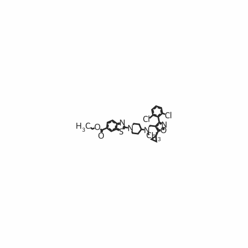 CCOC(=O)c1ccc2nc(N3CCC(N(C)Cc4c(-c5c(Cl)cccc5Cl)noc4C4CC4)CC3)sc2c1